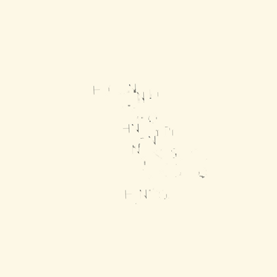 CCCn1c(NC(=O)c2cc(C)nn2CC)nc2cc(C(N)=O)cc(SC3CCOCC3)c21